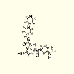 O=C(Nc1cc(O)ccc1NC(=O)c1ccc2cc[nH]c2c1)OCC1CCN(c2ccncc2)CC1